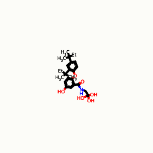 CCC(C)(C)c1ccc(Oc2ccc(O)cc2C(=O)NCC(O)(O)O)c(C(C)(C)CC)c1